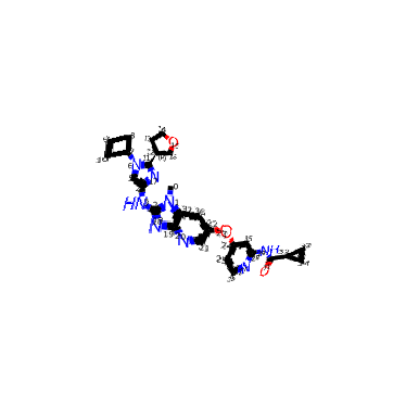 Cn1c(Nc2cn(C3CCC3)c([C@H]3CCOC3)n2)nc2ncc(Oc3ccnc(NC(=O)C4CC4)c3)cc21